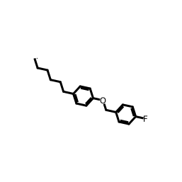 [CH2]CCCCCc1ccc(OCc2ccc(F)cc2)cc1